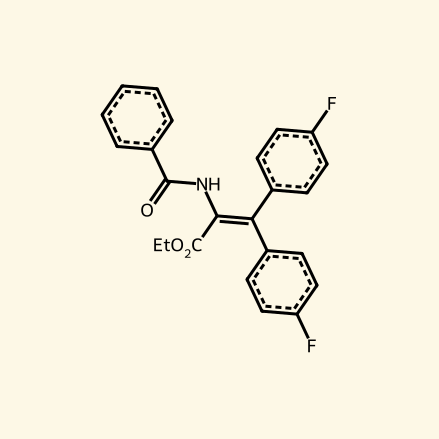 CCOC(=O)C(NC(=O)c1ccccc1)=C(c1ccc(F)cc1)c1ccc(F)cc1